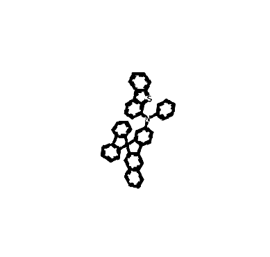 c1ccc(N(c2ccc3c(c2)C2(c4ccccc4-c4ccccc42)c2cc4ccccc4cc2-3)c2cccc3c2sc2ccccc23)cc1